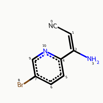 N#C/C=C(/N)c1ccc(Br)cn1